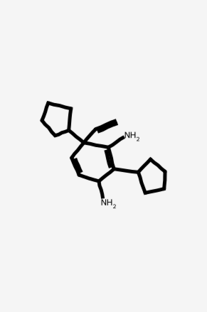 C=CC1(C2CCCC2)C=CC(N)C(C2CCCC2)=C1N